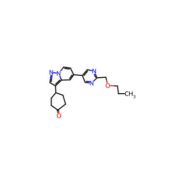 CCCOCc1ncc(-c2ccn3ncc(C4CCC(=O)CC4)c3c2)cn1